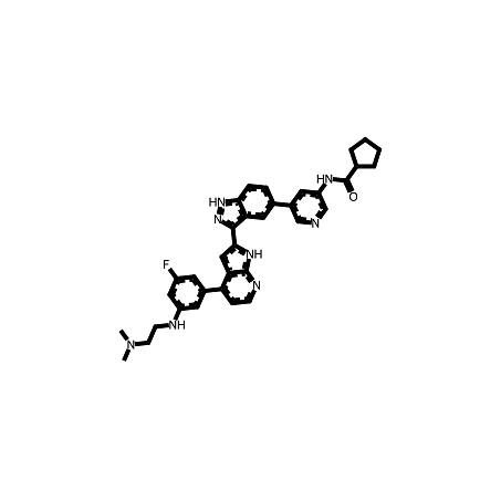 CN(C)CCNc1cc(F)cc(-c2ccnc3[nH]c(-c4n[nH]c5ccc(-c6cncc(NC(=O)C7CCCC7)c6)cc45)cc23)c1